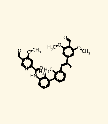 COc1cc(C(=O)Nc2cccc(-c3cccc(/C=C(\F)c4cc(OC)c(C=O)c(OC)c4)c3C)c2C)ncc1C=O